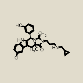 C=C1N(CCCNCC2CC2)C(=O)[C@]2(C)Cc3c([nH]c4ccc(Cl)cc34)[C@@H](c3cccc(O)c3)N12